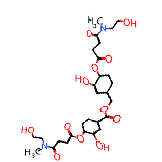 CN(CCO)C(=O)CCC(=O)OC1CCC(COC(=O)C2CCC(OC(=O)CCC(=O)N(C)CCO)C(O)C2)CC1O